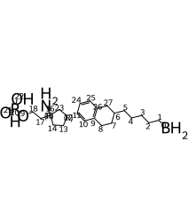 BCCCCCC1CCc2cc([C@@H]3CC[C@](N)(CCO[PH](=O)O)C3)ccc2C1